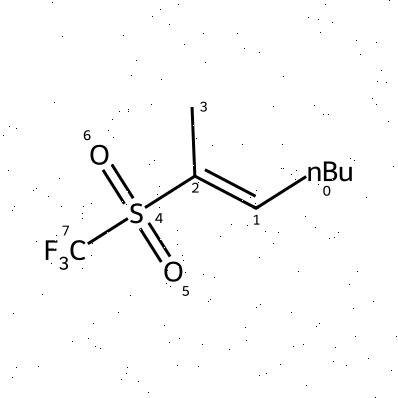 CCCC/C=C(\C)S(=O)(=O)C(F)(F)F